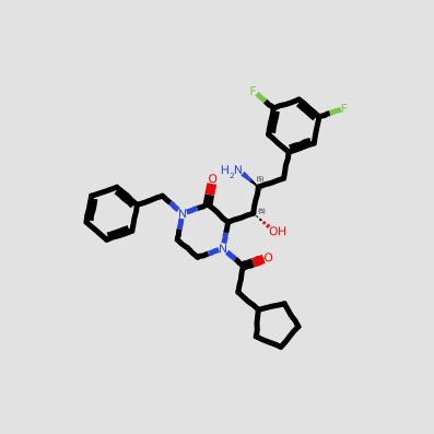 N[C@@H](Cc1cc(F)cc(F)c1)[C@H](O)C1C(=O)N(Cc2ccccc2)CCN1C(=O)CC1CCCC1